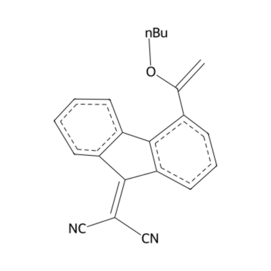 C=C(OCCCC)c1cccc2c1-c1ccccc1C2=C(C#N)C#N